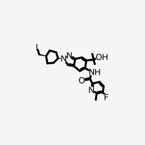 Cc1nc(C(=O)Nc2cc3cn([C@H]4CC[C@H](CI)CC4)nc3cc2C(C)(C)O)ccc1F